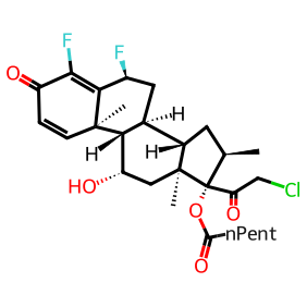 CCCCCC(=O)O[C@@]1(C(=O)CCl)[C@H](C)C[C@H]2[C@@H]3C[C@H](F)C4=C(F)C(=O)C=C[C@]4(C)[C@H]3[C@@H](O)C[C@@]21C